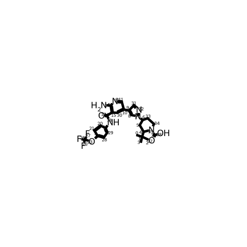 CC(C)(C)C1CC(n2cc(-c3cnc(N)c(C(=O)Nc4ccc(OC(F)(F)F)cc4)c3)cn2)CCN1C(=O)O